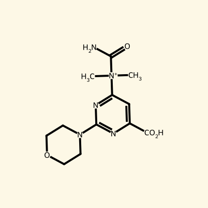 C[N+](C)(C(N)=O)c1cc(C(=O)O)nc(N2CCOCC2)n1